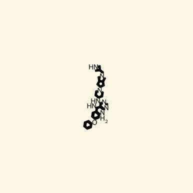 N=C(c1ccc(Oc2ccccc2)cc1)c1c(N)ncnc1NC1CCN(C2CC3CN(CC4CNC4)CC3C2)CC1